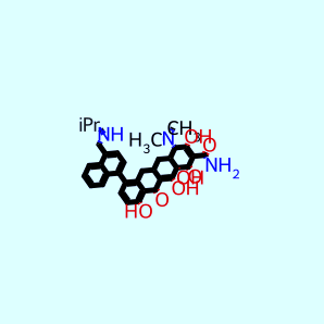 CC(C)NCc1ccc(-c2ccc(O)c3c2CC2CC4C(N(C)C)C(O)=C(C(N)=O)C(=O)C4(O)C(O)=C2C3=O)c2ccccc12